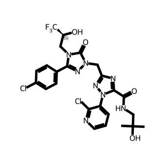 CC(C)(O)CNC(=O)c1nc(Cn2nc(-c3ccc(Cl)cc3)n(C[C@H](O)C(F)(F)F)c2=O)nn1-c1cccnc1Cl